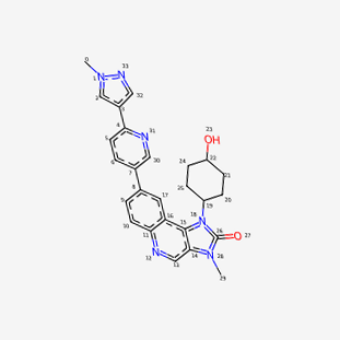 Cn1cc(-c2ccc(-c3ccc4ncc5c(c4c3)n(C3CCC(O)CC3)c(=O)n5C)cn2)cn1